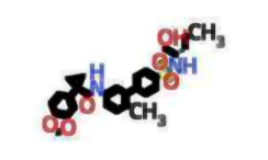 CCC[C@@H](CO)NS(=O)(=O)c1ccc(-c2cc(NC(=O)C3(c4ccc5c(c4)OCO5)CC3)ccc2C)cc1